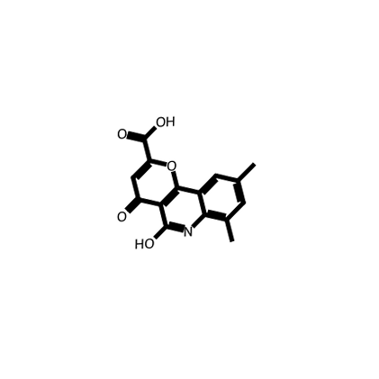 Cc1cc(C)c2nc(O)c3c(=O)cc(C(=O)O)oc3c2c1